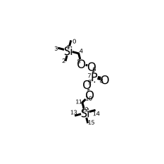 C[Si](C)(C)COO[P](=O)OOC[Si](C)(C)C